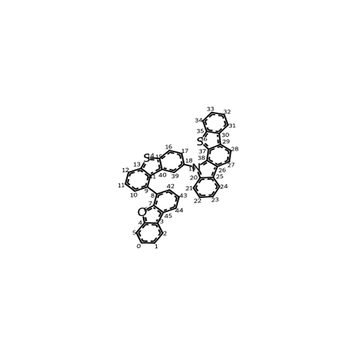 c1ccc2c(c1)oc1c(-c3cccc4sc5ccc(-n6c7ccccc7c7ccc8c9ccccc9sc8c76)cc5c34)cccc12